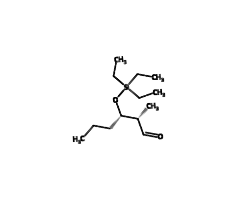 CCC[C@H](O[Si](CC)(CC)CC)[C@H](C)C=O